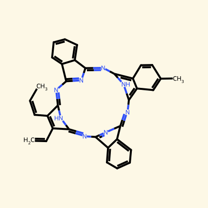 C=Cc1c(/C=C\C)c2nc3nc(nc4[nH]c(nc5nc(nc1[nH]2)-c1ccccc1-5)c1cc(C)ccc41)-c1ccccc1-3